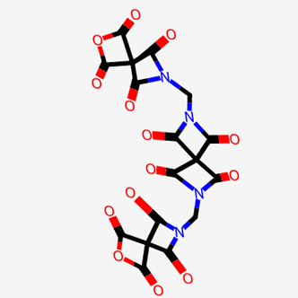 O=C1OC(=O)C12C(=O)N(CN1C(=O)C3(C1=O)C(=O)N(CN1C(=O)C4(C(=O)OC4=O)C1=O)C3=O)C2=O